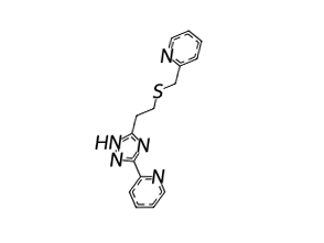 c1ccc(CSCCc2nc(-c3ccccn3)n[nH]2)nc1